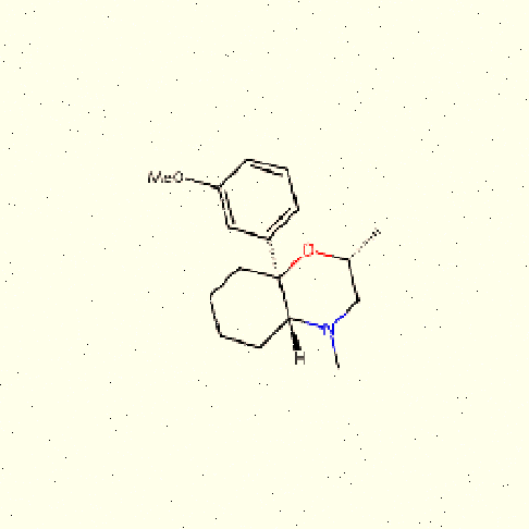 COc1cccc([C@@]23CCCC[C@H]2N(C)C[C@@H](C)O3)c1